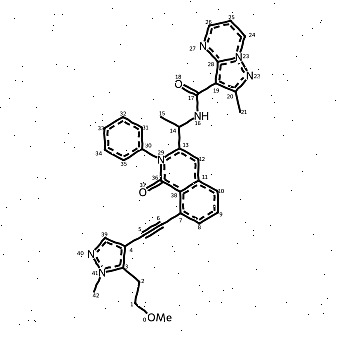 COCCc1c(C#Cc2cccc3cc(C(C)NC(=O)c4c(C)nn5cccnc45)n(-c4ccccc4)c(=O)c23)cnn1C